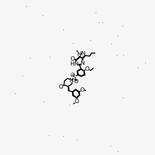 CCCc1nn(C)c2c(=O)[nH]c(-c3cc(S(=O)(=O)N4CCC(=O)C(=Cc5cc(OC)cc(OC)c5)C4)ccc3OCC)nc12